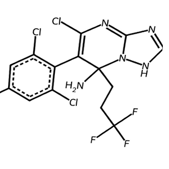 NC1(CCC(F)(F)F)C(c2c(Cl)cc(F)cc2Cl)=C(Cl)N=C2N=CNN21